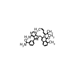 C=C(C)/C(=C\C=C/C)n1c(Cn2nc(-c3cccc(C(N)=O)c3)c3c(N)ncnc32)cc2cccc(C)c2c1=O